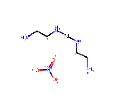 NCC[NH][Pd][NH]CCN.O=[N+]([O-])O